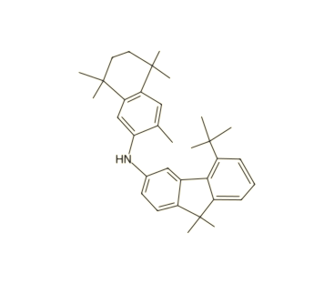 Cc1cc2c(cc1Nc1ccc3c(c1)-c1c(C(C)(C)C)cccc1C3(C)C)C(C)(C)CCC2(C)C